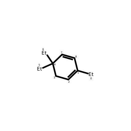 CCC1=CCC(CC)(CC)[C]=C1